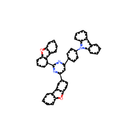 c1ccc2c(c1)oc1ccc(-c3cc(-c4ccc(-n5c6ccccc6c6ccccc65)cc4)nc(-c4cccc5oc6ccccc6c45)n3)cc12